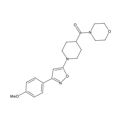 COc1ccc(-c2cc(N3CCC(C(=O)N4CCOCC4)CC3)on2)cc1